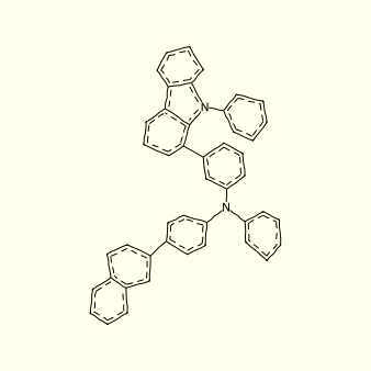 c1ccc(N(c2ccc(-c3ccc4ccccc4c3)cc2)c2cccc(-c3cccc4c5ccccc5n(-c5ccccc5)c34)c2)cc1